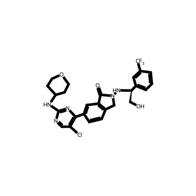 O=C1c2cc(-c3nc(NC4CCOCC4)ncc3Cl)ccc2CN1N[C@H](CO)c1cccc(C(F)(F)F)c1